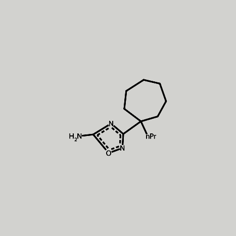 CCCC1(c2noc(N)n2)CCCCCC1